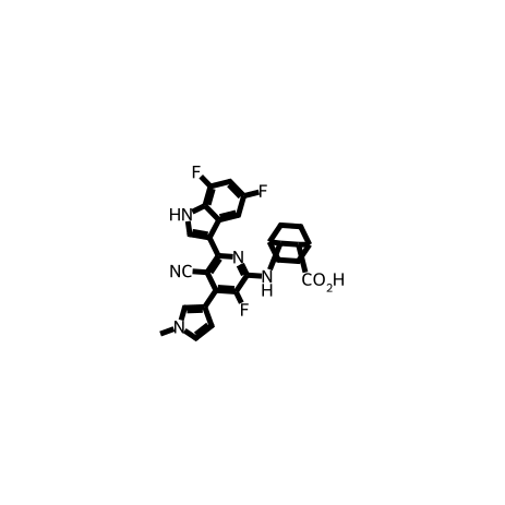 Cn1ccc(-c2c(F)c(NC3C4CCC(CC4)C3C(=O)O)nc(-c3c[nH]c4c(F)cc(F)cc34)c2C#N)c1